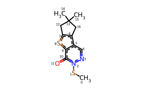 CSn1ncc2c3c(sc2c1=O)CC(C)(C)C3